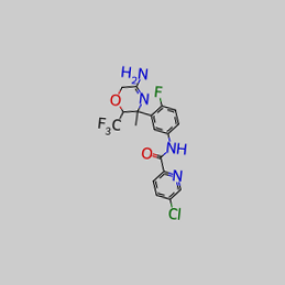 CC1(c2cc(NC(=O)c3ccc(Cl)cn3)ccc2F)N=C(N)COC1C(F)(F)F